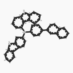 c1ccc2cc(-c3ccc(N(c4ccc5c(c4)oc4ccccc45)c4cccc5sc6ccccc6c45)cc3)ccc2c1